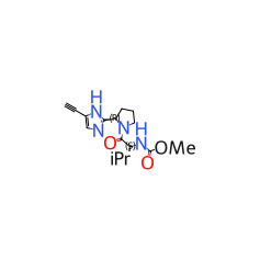 C#Cc1cnc([C@H]2CCCN2C(=O)[C@@H](NC(=O)OC)C(C)C)[nH]1